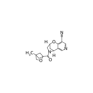 CC12COC(C(=O)N3C[C@@H]4C[C@H]3c3cncc(C#N)c3O4)(C1)C2